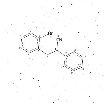 N#CC(Cc1ccccc1Br)c1ccccc1